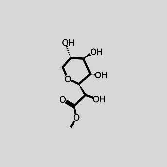 COC(=O)C(O)[C@H]1O[CH][C@H](O)[C@@H](O)[C@@H]1O